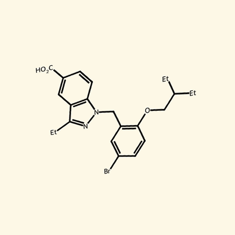 CCc1nn(Cc2cc(Br)ccc2OCC(CC)CC)c2ccc(C(=O)O)cc12